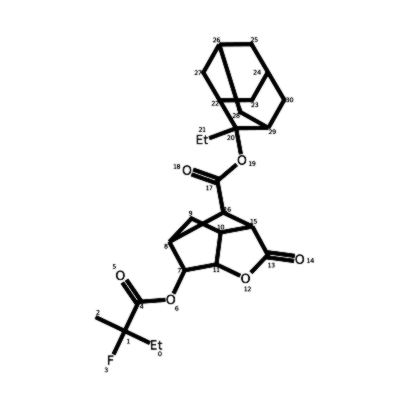 CCC(C)(F)C(=O)OC1C2CC3C1OC(=O)C3C2C(=O)OC1(CC)C2CC3CC(C2)CC1C3